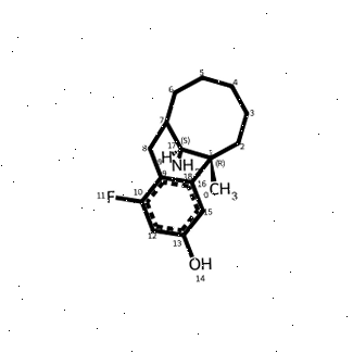 C[C@@]12CCCCCC(Cc3c(F)cc(O)cc31)[C@@H]2N